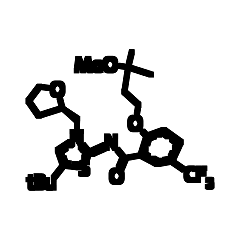 COC(C)(C)CCOc1ccc(C(F)(F)F)cc1C(=O)/N=c1\sc(C(C)(C)C)cn1C[C@H]1CCCO1